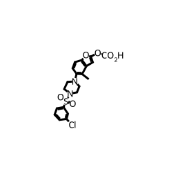 Cc1c(N2CCN(S(=O)(=O)c3cccc(Cl)c3)CC2)ccc2oc(OC(=O)O)cc12